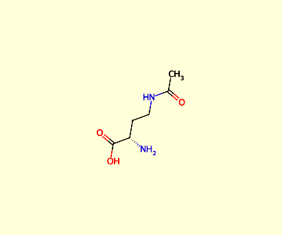 CC(=O)NCC[C@H](N)C(=O)O